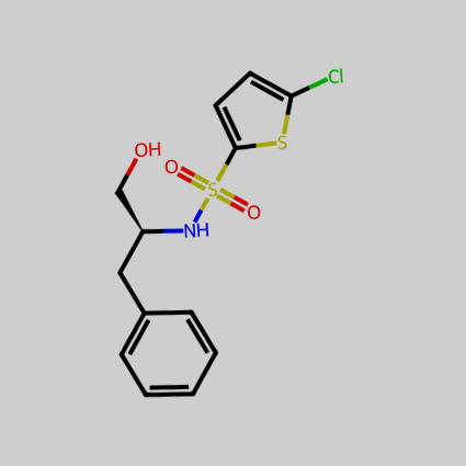 O=S(=O)(N[C@H](CO)Cc1ccccc1)c1ccc(Cl)s1